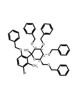 Cc1c(Br)ccc(OCc2ccccc2)c1C1(O)O[C@H](COCc2ccccc2)[C@@H](OCc2ccccc2)[C@H](OCc2ccccc2)[C@H]1OCc1ccccc1